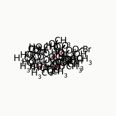 CC(=O)OC[C@H]1O[C@@H]([C@@]2(O)[C@@H](C(O)C(C)=O)O[C@H](OCCBr)[C@@](O)(C(C)=O)[C@]2(O)C(C)=O)[C@H](OC(C)=O)[C@@H](OC(C)=O)[C@@H]1O[C@@H]1O[C@H](C(O)[C@@H]2O[C@H](C(O)C(C)=O)[C@](O)(C(C)=O)[C@@](O)(C(C)=O)[C@]2(O)C(C)=O)[C@](O)(C(C)=O)[C@@](O)(C(C)=O)[C@]1(O)C(C)=O